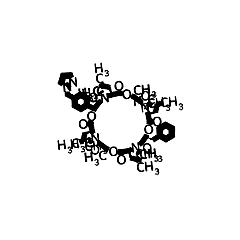 CC(C)C[C@H]1C(=O)O[C@H](C)C(=O)N(C)[C@@H](CC(C)C)C(=O)O[C@H](Cc2ccccc2)C(=O)N(C)[C@@H](CC(C)C)C(=O)O[C@H](C)C(=O)N(C)[C@@H](CC(C)C)C(=O)OC(c2ccc(Cn3cccn3)cc2)C(=O)N1C